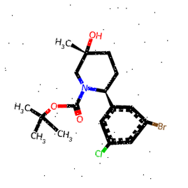 CC(C)(C)OC(=O)N1C[C@](C)(O)CC[C@H]1c1cc(Cl)cc(Br)c1